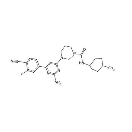 CC1CCC(NC(=O)[C@H]2CCCN(c3cc(-c4ccc(C#N)c(F)c4)nc(N)n3)C2)CC1